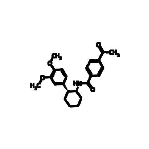 COc1ccc([C@H]2CCCC[C@H]2NC(=O)c2ccc(C(C)=O)cc2)cc1OC